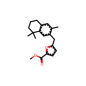 COC(=O)c1ccc(Cc2cc3c(cc2C)CCCC3(C)C)o1